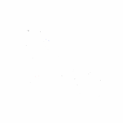 COc1cc2c(cc1OCc1ccccc1)NC=CC2